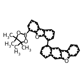 CC1(C)OB(c2cccc3c2oc2c(-c4cccc5cc6oc7ccccc7c6cc45)cccc23)OC1(C)C